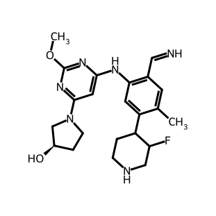 COc1nc(Nc2cc(C3CCNCC3F)c(C)cc2C=N)cc(N2CC[C@@H](O)C2)n1